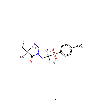 Cc1ccc(S(=O)(=O)C(C)(C)CN(CI)C(=O)C(C)(C)CI)cc1